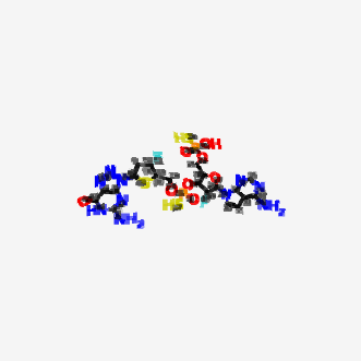 Nc1nc2c(nnn2[C@H]2C[C@H](F)[C@@H](COP(=O)(S)OC3[C@@H](COP(=O)(O)S)O[C@@H](n4ccc5c(N)ncnc54)[C@H]3F)S2)c(=O)[nH]1